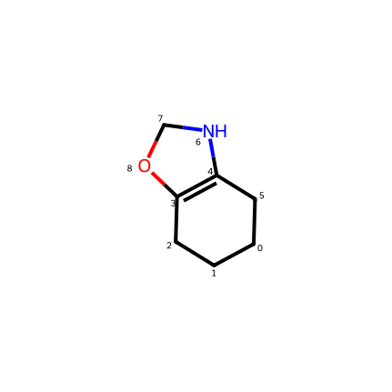 C1CCC2=C(C1)NCO2